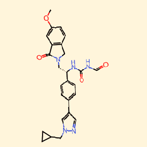 COc1ccc2c(c1)C(=O)N(C[C@H](NC(=O)NC=O)c1ccc(-c3cnn(CC4CC4)c3)cc1)C2